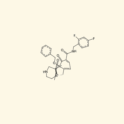 O=C(NCc1ccc(F)cc1F)C1=CC=C2C[N@@+]34CCCC(=O)C3(CNCC4)[N+]2(OCc2ccccc2)C1=O